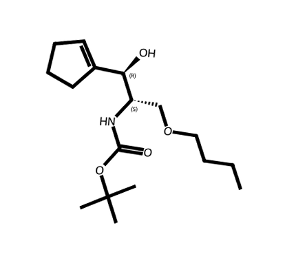 CCCCOC[C@H](NC(=O)OC(C)(C)C)[C@H](O)C1=CCCC1